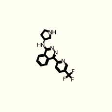 FC(F)(F)c1ccc(-c2nnc(N[C@H]3CCNC3)c3ccccc23)nc1